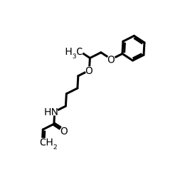 C=CC(=O)NCCCCOC(C)COc1ccccc1